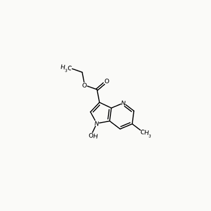 CCOC(=O)c1cn(O)c2cc(C)cnc12